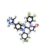 Cc1nnn(C)c1-c1ccc2c(c1)nc(C1CCC(=O)N1c1ccc(F)c(F)c1)n2C1CCC(F)(F)CC1